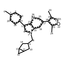 Cc1ccc(-c2cn(CC3CC4CC4C3)c3cc(-c4c(C)noc4C)cnc23)cc1